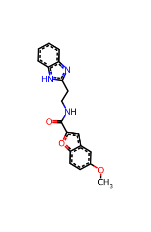 COc1ccc2oc(C(=O)NCCc3nc4ccccc4[nH]3)cc2c1